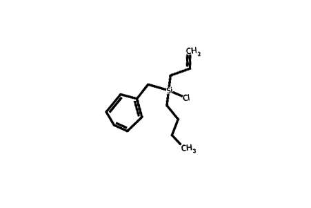 C=CC[Si](Cl)(CCCC)Cc1ccccc1